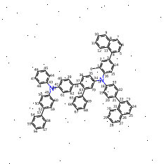 Cc1cc(-c2cccc3ccccc23)ccc1N(c1ccc(-c2cccc3ccccc23)cc1)c1ccc(-c2ccc(N(c3ccccc3)c3ccc(-c4ccccc4)cc3)cc2)c(-c2ccccc2)c1